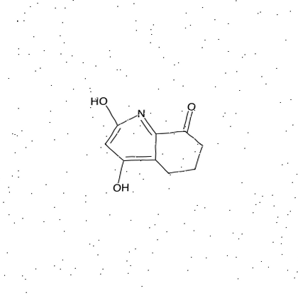 O=C1CCCc2c(O)cc(O)nc21